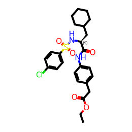 CCOC(=O)Cc1ccc(NC(=O)[C@H](CC2CCCCC2)NS(=O)(=O)c2ccc(Cl)cc2)cc1